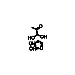 CC(=O)C(O)O.OO.c1ccoc1